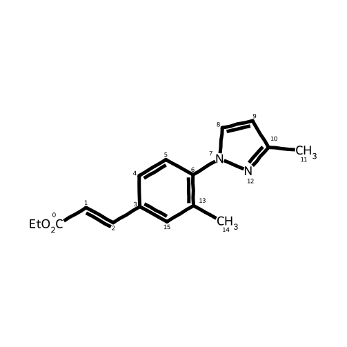 CCOC(=O)/C=C/c1ccc(-n2ccc(C)n2)c(C)c1